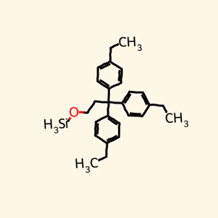 CCc1ccc(C(CCO[SiH3])(c2ccc(CC)cc2)c2ccc(CC)cc2)cc1